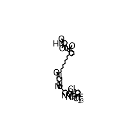 C[C@@H](Oc1cc(-c2cnn(C3CCN(C(=O)CCCCCCCCc4cccc5c4CN(C4CCC(=O)NC4=O)C5=O)CC3)c2)cnc1N)c1c(Cl)ccc(F)c1Cl